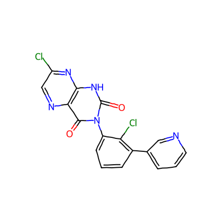 O=c1[nH]c2nc(Cl)cnc2c(=O)n1-c1cccc(-c2cccnc2)c1Cl